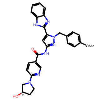 COc1ccc(Cn2nc(NC(=O)c3ccc(N4CC[C@@H](O)C4)nc3)cc2-c2nc3ccccc3[nH]2)cc1